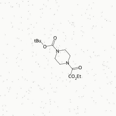 CCOC(=O)C(=O)N1CCN(C(=O)OC(C)(C)C)CC1